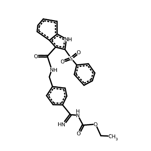 CCOC(=O)NC(=N)c1ccc(CNC(=O)c2c(S(=O)(=O)c3ccccc3)[nH]c3ccccc23)cc1